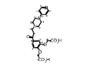 O=C(O)COc1ccc(C(=O)CCN2CCN(c3ccncc3)CC2)cc1OCC(=O)O